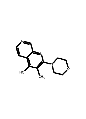 Cc1c(N2CCOCC2)nc2cnccc2c1O